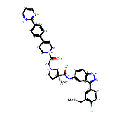 COCc1cc(-c2n[nH]c3ccc(NC(=O)[C@]4(OC)CCN(CC(=O)N5CC=C(c6ccc(-c7ncccn7)cc6)CC5)C4)cc23)ccc1F